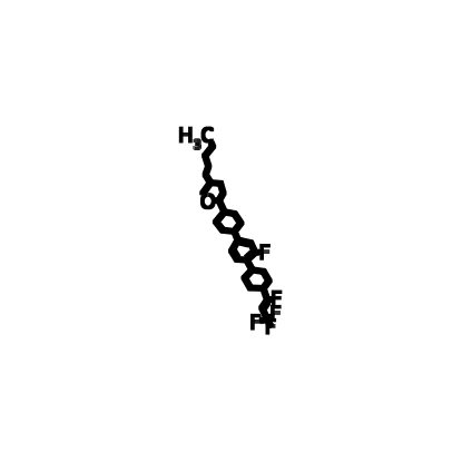 CCCCCC1CCC(C2CCC(c3ccc(C4CCC(/C(F)=C/C(F)(F)F)CC4)c(F)c3)CC2)OC1